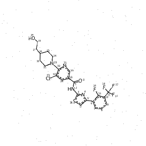 O=C(Nc1nc(-c2cccc(C(F)(F)F)c2F)cs1)c1cnc(N2CCC(CCO)CC2)c(Cl)c1